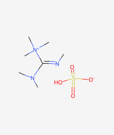 CN=C(N(C)C)[N+](C)(C)C.O=S(=O)([O-])O